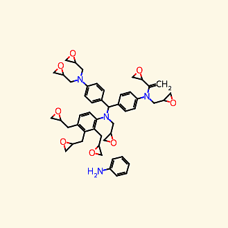 C=C(C1CO1)N(CC1CO1)c1ccc(C(c2ccc(N(CC3CO3)CC3CO3)cc2)N(CC2CO2)c2ccc(CC3CO3)c(CC3CO3)c2CC2CO2)cc1.Nc1ccccc1